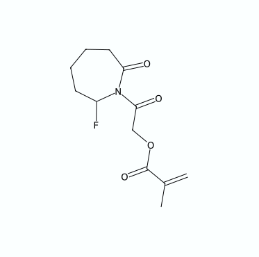 C=C(C)C(=O)OCC(=O)N1C(=O)CCCCC1F